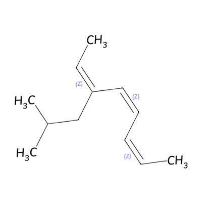 C\C=C/C=C\C(=C/C)CC(C)C